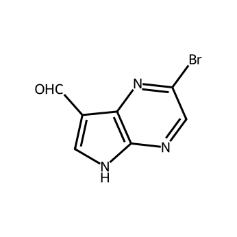 O=Cc1c[nH]c2ncc(Br)nc12